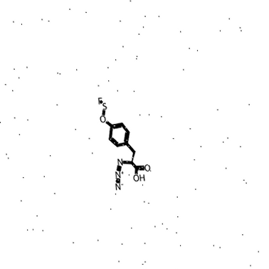 [N-]=[N+]=N[C@@H](Cc1ccc(OSF)cc1)C(=O)O